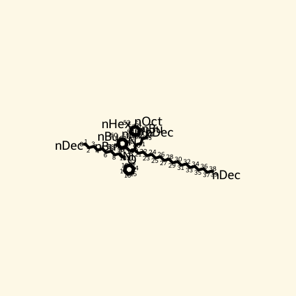 CCCCCCCCCCCCCCCCCCC=[CH][Ni]([O]c1ccccc1)[C](=C(CCCCCCCCCCCCCCCCCCCCCCCCCCCC)C(CCCCCCCCCCCCC)=Nc1cc(CCCC)c(CCCCCCCC)c(CCCCCC)c1)c1cc(CCCC)c(CCCC)c(CCCCCC)c1